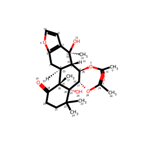 CC(=O)O[C@@H]1[C@@H]2[C@H](Cc3occc3[C@@]2(C)O)[C@@]2(C)C(=O)CCC(C)(C)[C@]2(O)[C@H]1OC(C)=O